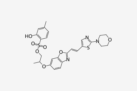 Cc1ccc(S(=O)(=O)OCC(C)Oc2ccc3nc(C=Cc4cnc(N5CCOCC5)s4)oc3c2)c(O)c1